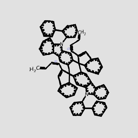 C=C/C=C\C1=Cc2ccccc2C12c1cc3c4ccccc4n(-c4ccccc4-c4ccccc4)c3cc1C1(C(/C=C\C=C)=Cc3ccccc31)c1cc3c4ccccc4n(-c4ccccc4-c4ccccc4)c3cc12